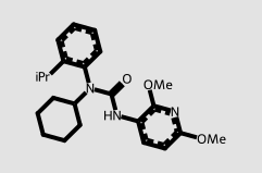 COc1ccc(NC(=O)N(c2ccccc2C(C)C)C2CCCCC2)c(OC)n1